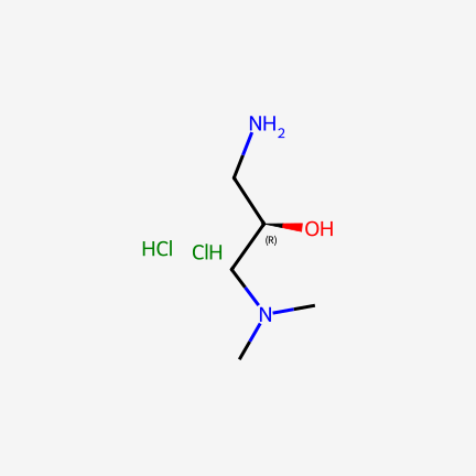 CN(C)C[C@H](O)CN.Cl.Cl